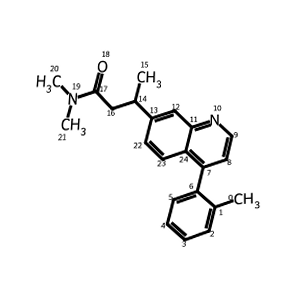 Cc1ccccc1-c1ccnc2cc(C(C)CC(=O)N(C)C)ccc12